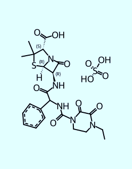 CCN1CCN(C(=O)NC(C(=O)N[C@@H]2C(=O)N3[C@@H]2SC(C)(C)[C@@H]3C(=O)O)c2ccccc2)C(=O)C1=O.O=S(=O)(O)O